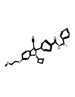 COCCOc1ccc2c(C#N)c(-c3ccc(C(=O)N[C@@H](C)c4ccccc4)cc3)n(C3CCC3)c2c1